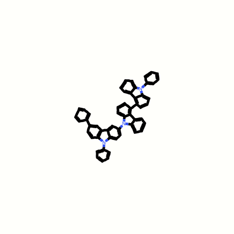 c1ccc(-c2ccc3c(c2)c2cc(-n4c5ccccc5c5c(-c6cccc7c6c6ccccc6n7-c6ccccc6)cccc54)ccc2n3-c2ccccc2)cc1